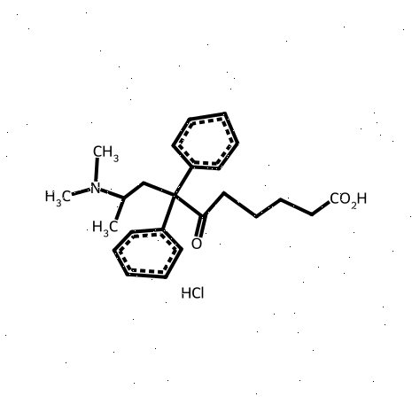 CC(CC(C(=O)CCCCC(=O)O)(c1ccccc1)c1ccccc1)N(C)C.Cl